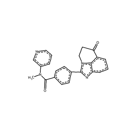 CN(C(=O)c1ccc(-c2nc3cccc4c3n2CCC4=O)cc1)c1cccnc1